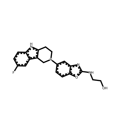 OCCNc1nc2cc(N3CCc4[nH]c5ccc(F)cc5c4C3)ccc2o1